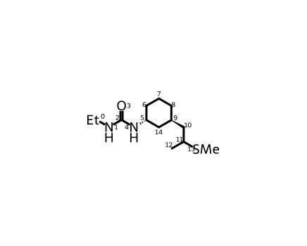 CCNC(=O)N[C@@H]1CCC[C@@H](CC(C)SC)C1